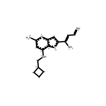 N=C/C=C(\N)c1cc2nc(N)cc(NCC3CCC3)c2s1